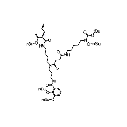 C=C/C=C(\C(=C)OCCCC)C(=O)NCCCCN(CCCNC(=O)c1cccc(OCCCC)c1OCCCC)C(=O)CCC(=O)NCCCCCN(OCCCC)C(=O)OC(C)(C)C